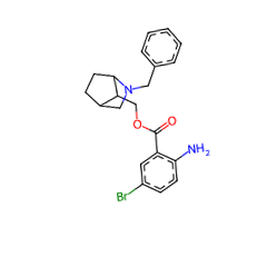 Nc1ccc(Br)cc1C(=O)OCC1C2CCC1N(Cc1ccccc1)C2